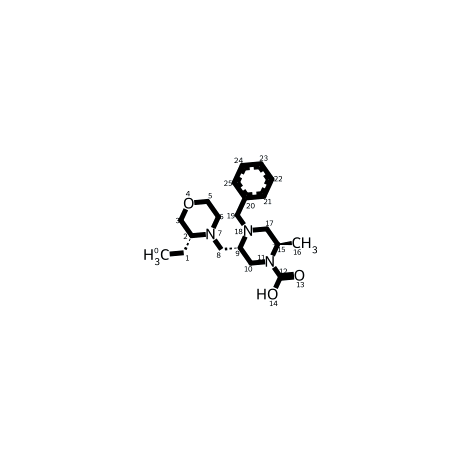 CC[C@@H]1COCCN1C[C@H]1CN(C(=O)O)[C@H](C)CN1Cc1ccccc1